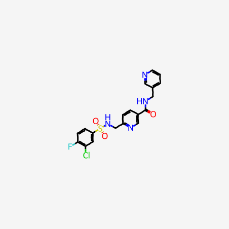 O=C(NCc1cccnc1)c1ccc(CNS(=O)(=O)c2ccc(F)c(Cl)c2)nc1